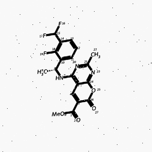 COC(=O)c1cc2c(N[C@H](C)c3cccc(C(F)F)c3F)nc(C)nc2oc1=O